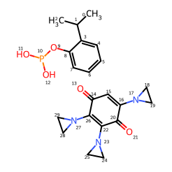 CC(C)c1ccccc1OP(O)O.O=C1C=C(N2CC2)C(=O)C(N2CC2)=C1N1CC1